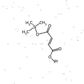 CC(C)OC(=O)/C=C/C(=O)O[Si](C)(C)C